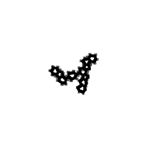 c1ccc2cc3c(cc2c1)nc1c2sc4c5ccccc5ccc4c2cc(-c2ccc(-c4cccc5c4sc4ccccc45)cc2)n31